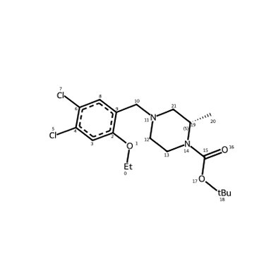 CCOc1cc(Cl)c(Cl)cc1CN1CCN(C(=O)OC(C)(C)C)[C@@H](C)C1